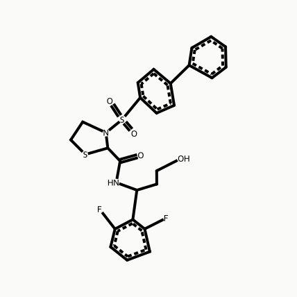 O=C(NC(CCO)c1c(F)cccc1F)C1SCCN1S(=O)(=O)c1ccc(-c2ccccc2)cc1